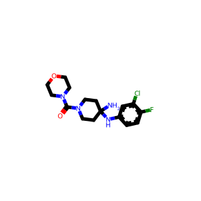 NC1(Nc2ccc(F)c(Cl)c2)CCN(C(=O)N2CCOCC2)CC1